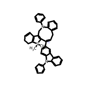 C[Si]1(C)C2=C(C=CCC2)C2=C1/C(c1ccc3c(c1)c1ccccc1n3-c1ccccc1)=C\Cc1ccccc1N(c1ccccc1)C2